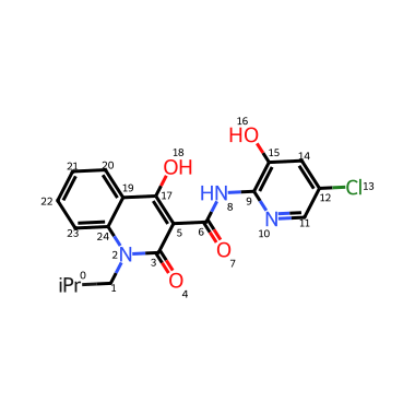 CC(C)Cn1c(=O)c(C(=O)Nc2ncc(Cl)cc2O)c(O)c2ccccc21